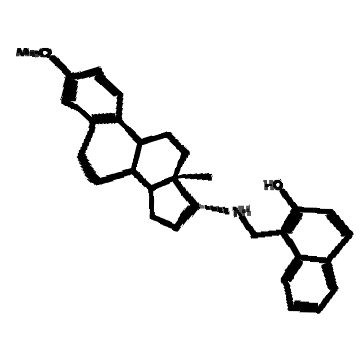 COc1ccc2c(c1)CCC1C2CC[C@@]2(C)C1CC[C@H]2NCc1c(O)ccc2ccccc12